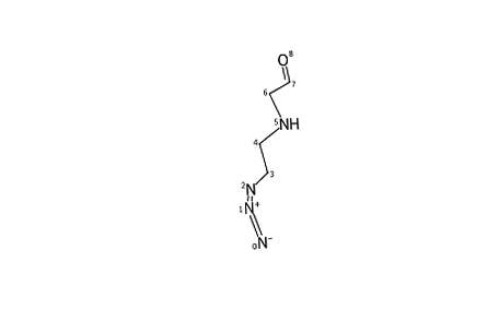 [N-]=[N+]=NCCNCC=O